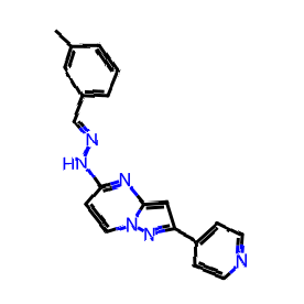 Cc1cccc(C=NNc2ccn3nc(-c4ccncc4)cc3n2)c1